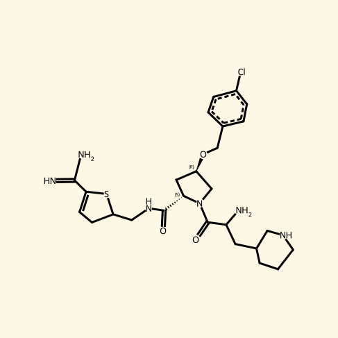 N=C(N)C1=CCC(CNC(=O)[C@@H]2C[C@@H](OCc3ccc(Cl)cc3)CN2C(=O)C(N)CC2CCCNC2)S1